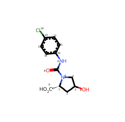 O=C(O)[C@H]1CC(O)CN1C(=O)Nc1ccc(Cl)cc1